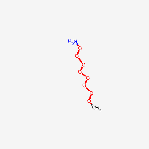 COOOOOOOON